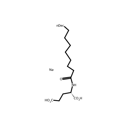 CCCCCCCCCCCCCCCCCC(=O)N[C@@H](CCC(=O)O)C(=O)O.[Na]